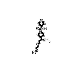 CCOCCOCC[C@@H](N)C1CCN(C(=O)Nc2ccncc2)CC1